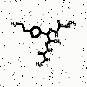 CNC(=S)NN=C(C)C(=NNC(=S)NC)c1ccc(CCN)cc1